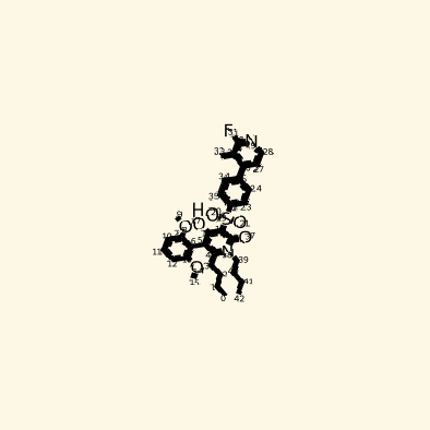 CCCCc1c(-c2c(OC)cccc2OC)c(O)c(S(=O)(=O)c2ccc(-c3ccnc(F)c3C)cc2)c(=O)n1CCCC